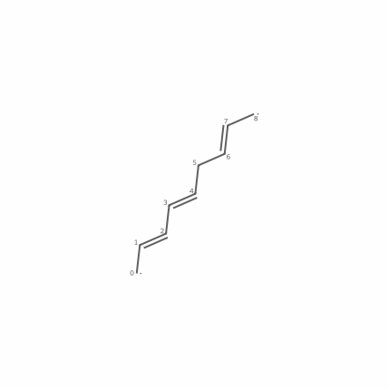 [CH2]/C=C/C=C/C/C=C/[CH2]